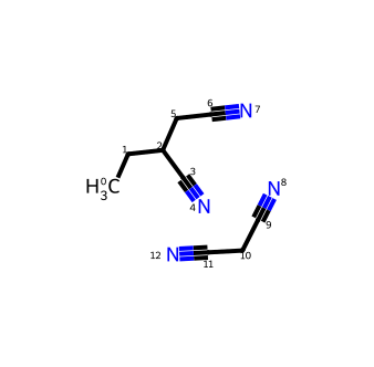 CCC(C#N)CC#N.N#CCC#N